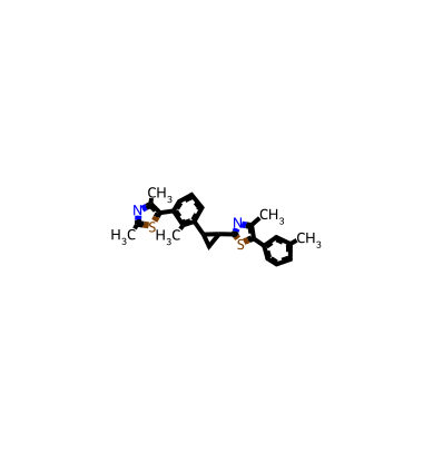 Cc1cccc(-c2sc(C3CC3c3cccc(-c4sc(C)nc4C)c3C)nc2C)c1